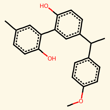 COc1ccc(C(C)c2ccc(O)c(-c3cc(C)ccc3O)c2)cc1